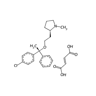 CN1CCC[C@@H]1CCO[C@](C)(c1ccccc1)c1ccc(Cl)cc1.O=C(O)C=CC(=O)O